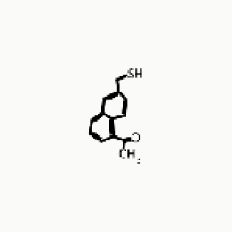 CC(=O)c1cccc2cc(CS)ccc12